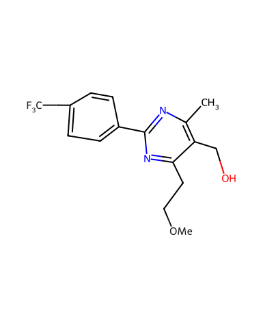 COCCc1nc(-c2ccc(C(F)(F)F)cc2)nc(C)c1CO